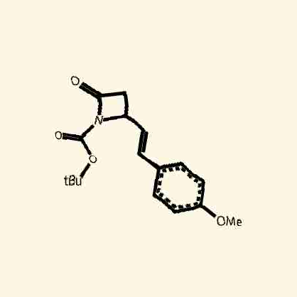 COc1ccc(C=CC2CC(=O)N2C(=O)OC(C)(C)C)cc1